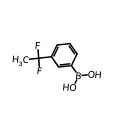 CC(F)(F)c1cccc(B(O)O)c1